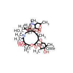 CC[C@H]1OC(=O)[C@H](C)[C@@H](O[C@H]2C[C@@](C)(OC)[C@@H](O)[C@H](C)O2)[C@H](C)[C@@H](O[C@@H]2O[C@H](C)C[C@H](N(C)C)[C@H]2OC(=O)O[C@H](C)C(=O)O)[C@](C)(O)C[C@@H](C)CN(C)[C@H](C)[C@@H](O)[C@]1(C)O